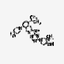 CC(C)c1ccc(N2CCC3(CCO3)CC2)c2cnc(Nc3ncnc(N4CC[C@@H](O)[C@@](C)(F)C4)n3)cc12